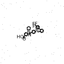 O=C(O)c1ccc2c(c1)nc(-c1ccc(NCc3ccccc3-c3ccc(C(F)(F)F)cc3)cc1)n2C1CCCCC1